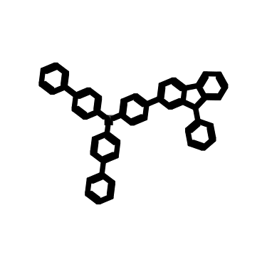 c1ccc(-c2ccc(N(c3ccc(-c4ccccc4)cc3)c3ccc(-c4ccc5c(c4)C(c4ccccc4)c4ccccc4-5)cc3)cc2)cc1